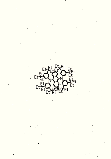 CCC(CC)(CC)c1cc(N(c2cc(C(CC)(CC)CC)cc(C(CC)(CC)CC)c2)c2c3ccccc3c(N(c3cc(C(CC)(CC)CC)cc(C(CC)(CC)CC)c3)c3cc(C(CC)(CC)CC)cc(C(CC)(CC)CC)c3)c3cc(C(C)(C)C)ccc23)cc(C(CC)(CC)CC)c1